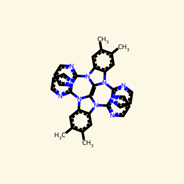 Cc1cc2c(cc1C)N(c1ncccn1)C(=C1N(c3ncccn3)c3cc(C)c(C)cc3N1c1ncccn1)N2c1ncccn1